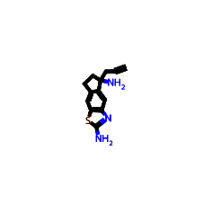 C#CCC1(N)CCc2cc3sc(N)nc3cc21